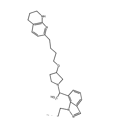 COCCn1ncc2cccc(C(C(=O)O)N3CCC(OCCCCc4ccc5c(n4)NCCC5)C3)c21